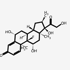 C[C@@H]1C[C@H]2[C@@H]3C[C@@H](O)C4=CC(=O)C=C[C@]4(C)[C@@]3(F)[C@@H](O)C[C@]2(C)[C@@]1(O)C(=O)CO